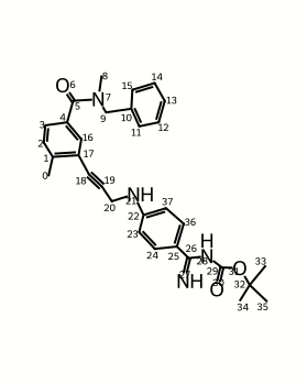 Cc1ccc(C(=O)N(C)Cc2ccccc2)cc1C#CCNc1ccc(C(=N)NC(=O)OC(C)(C)C)cc1